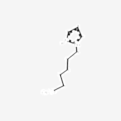 O=CCCCCCn1cccn1